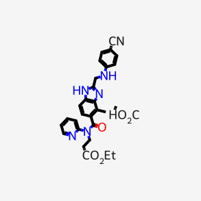 CC(=O)O.CCOC(=O)CCN(C(=O)c1ccc2[nH]c(CNc3ccc(C#N)cc3)nc2c1C)c1ccccn1